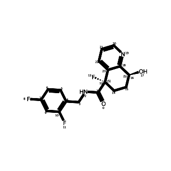 O=C(NCc1ccc(F)cc1F)[C@]1(F)CC[C@H](O)c2ncccc21